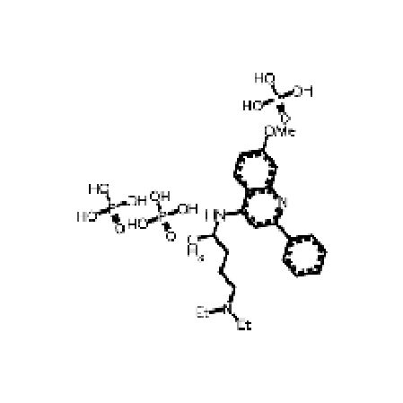 CCN(CC)CCCC(C)Nc1cc(-c2ccccc2)nc2cc(OC)ccc12.O=P(O)(O)O.O=P(O)(O)O.O=P(O)(O)O